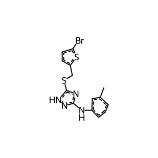 Cc1cccc(Nc2n[nH]c(SCc3ccc(Br)s3)n2)c1